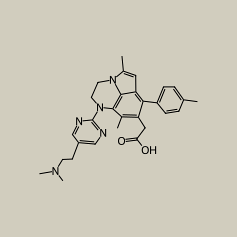 Cc1ccc(-c2c(CC(=O)O)c(C)c3c4c2cc(C)n4CCN3c2ncc(CCN(C)C)cn2)cc1